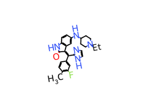 CCN1CCC(Nc2ccc3c(c2)C(=C(c2ccc(C)c(F)c2)c2ncc[nH]2)C(=O)N3)CC1